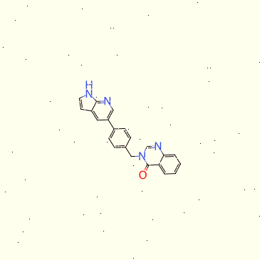 O=c1c2ccccc2ncn1Cc1ccc(-c2cnc3[nH]ccc3c2)cc1